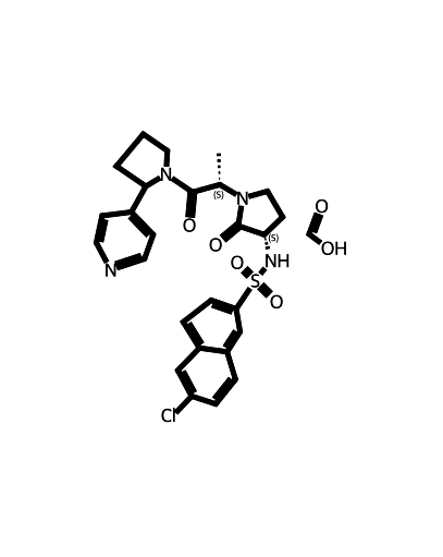 C[C@@H](C(=O)N1CCCC1c1ccncc1)N1CC[C@H](NS(=O)(=O)c2ccc3cc(Cl)ccc3c2)C1=O.O=CO